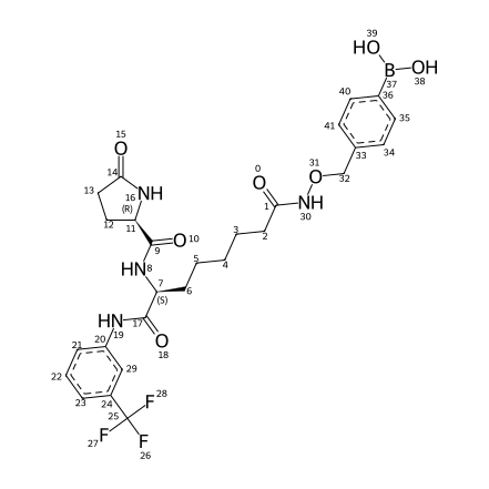 O=C(CCCCC[C@H](NC(=O)[C@H]1CCC(=O)N1)C(=O)Nc1cccc(C(F)(F)F)c1)NOCc1ccc(B(O)O)cc1